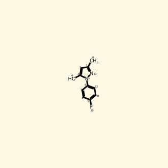 Cc1[c]c(O)n(-c2ccc(F)cc2)n1